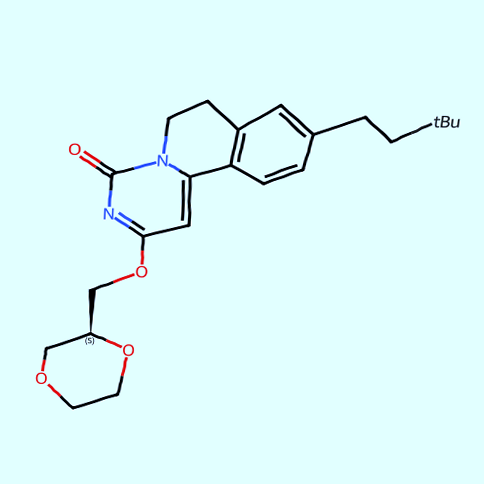 CC(C)(C)CCc1ccc2c(c1)CCn1c-2cc(OC[C@@H]2COCCO2)nc1=O